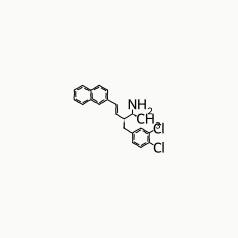 C[C@H](N)[C@H](C=Cc1ccc2ccccc2c1)Cc1ccc(Cl)c(Cl)c1